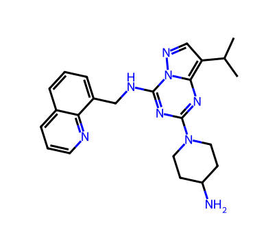 CC(C)c1cnn2c(NCc3cccc4cccnc34)nc(N3CCC(N)CC3)nc12